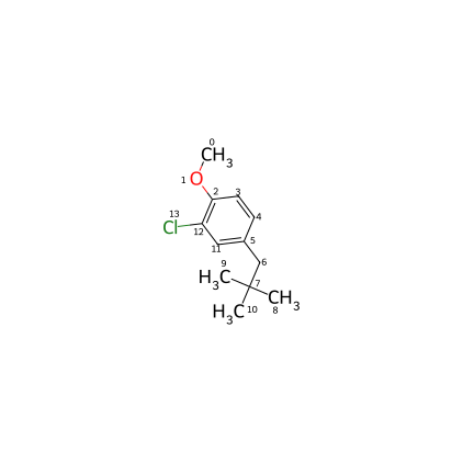 COc1ccc(CC(C)(C)C)cc1Cl